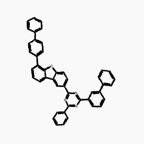 c1ccc(-c2ccc(-c3cccc4c3oc3ccc(-c5nc(-c6ccccc6)nc(-c6cccc(-c7ccccc7)c6)n5)cc34)cc2)cc1